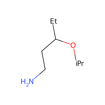 CCC(CCN)OC(C)C